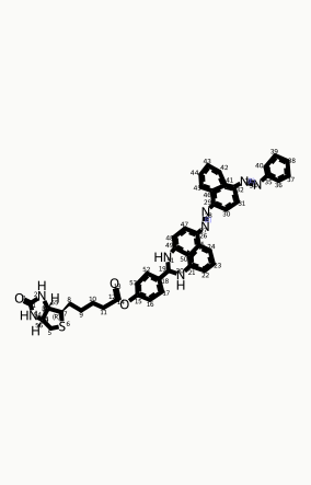 O=C1N[C@@H]2[C@@H](CS[C@@H]2CCCCC(=O)Oc2ccc(C3Nc4cccc5c(/N=N/c6ccc(/N=N/c7ccccc7)c7ccccc67)ccc(c45)N3)cc2)N1